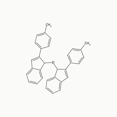 Cc1ccc(C2=Cc3ccccc3[CH]2[Zr][CH]2C(c3ccc(C)cc3)=Cc3ccccc32)cc1